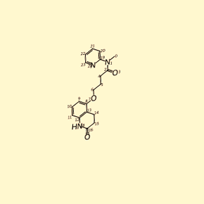 CN(C(=O)CCCOc1cccc2c1CCC(=O)N2)c1ccccn1